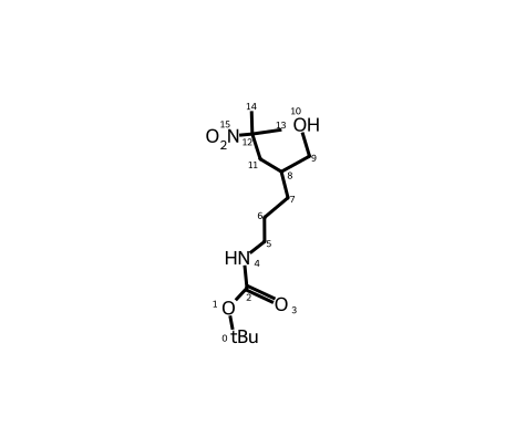 CC(C)(C)OC(=O)NCCCC(CO)CC(C)(C)[N+](=O)[O-]